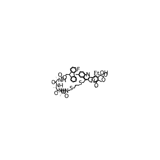 CC[C@@]1(O)C(=O)OCc2c1cc1n(c2=O)Cc2c-1nc1cc(F)c(C)cc1c2CSCCCSCNC(=O)[C@H](C)NC(=O)[C@H](C)NC(=O)[C@H](C)NC(=O)OCC1c2ccccc2-c2ccccc21